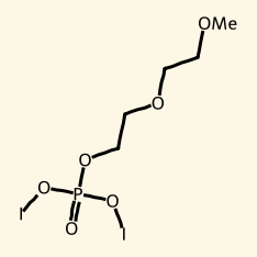 COCCOCCOP(=O)(OI)OI